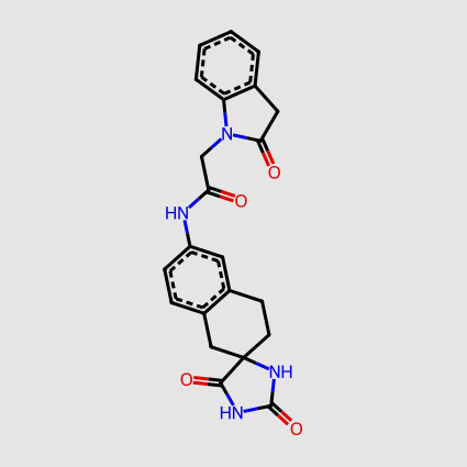 O=C(CN1C(=O)Cc2ccccc21)Nc1ccc2c(c1)CCC1(C2)NC(=O)NC1=O